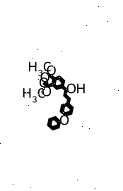 COC(=O)c1ccc(C(O)CCc2ccc(Oc3ccccc3)cc2)cc1C(=O)OC